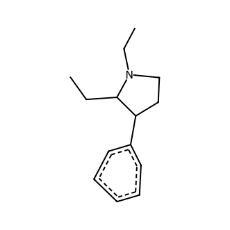 CCC1C(c2ccccc2)CCN1CC